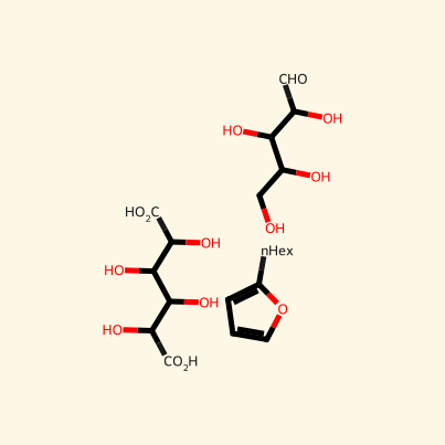 CCCCCCc1ccco1.O=C(O)C(O)C(O)C(O)C(O)C(=O)O.O=CC(O)C(O)C(O)CO